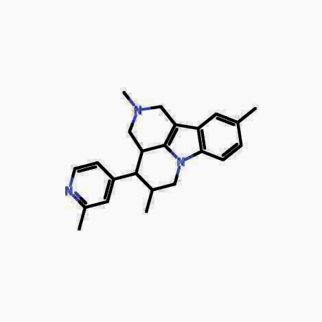 Cc1ccc2c(c1)c1c3n2CC(C)C(c2ccnc(C)c2)C3CN(C)C1